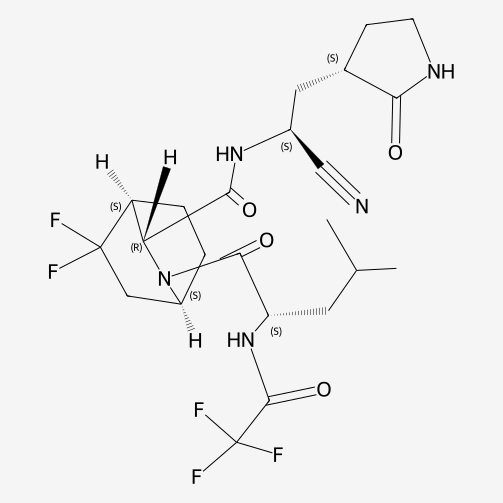 CC(C)C[C@H](NC(=O)C(F)(F)F)C(=O)N1[C@H]2CC[C@@H]([C@@H]1C(=O)N[C@H](C#N)C[C@@H]1CCNC1=O)C(F)(F)C2